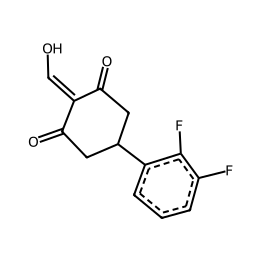 O=C1CC(c2cccc(F)c2F)CC(=O)C1=CO